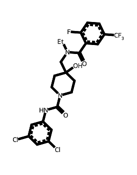 CCN(CC1(O)CCN(C(=O)Nc2cc(Cl)cc(Cl)c2)CC1)C(=O)c1cc(C(F)(F)F)ccc1F